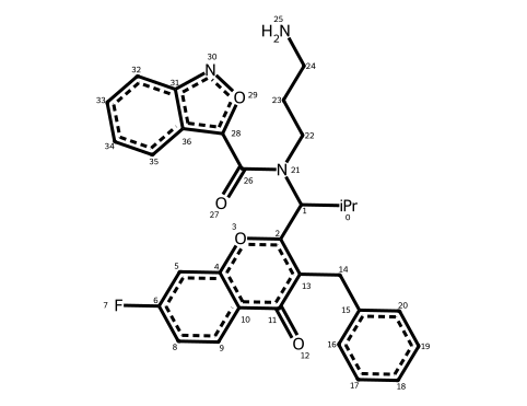 CC(C)C(c1oc2cc(F)ccc2c(=O)c1Cc1ccccc1)N(CCCN)C(=O)c1onc2ccccc12